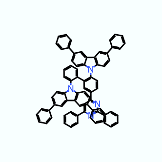 c1ccc(-c2ccc3c(c2)c2cc(-c4ccccc4)ccc2n3-c2ccccc2-c2cc(-c3cc(-c4ccccc4)nc(-c4ccccc4)n3)ccc2-n2c3ccc(-c4ccccc4)cc3c3cc(-c4ccccc4)ccc32)cc1